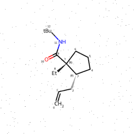 C=CC[C@H]1CCC[C@@]1(CC)C(=O)NC(C)(C)C